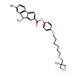 CCC1(COCCCCCCOc2ccc(OC(=O)c3ccc4c(c3)C(C)c3cc(C#N)ccc3-4)cc2)COC1